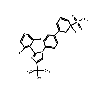 CC(C)(O)c1cn(-c2ccc(C3=CC=CC(F)(S(C)(=O)=O)C3)cc2)c(-c2c(F)cccc2Cl)n1